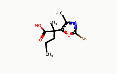 CCCC(C)(C(=O)O)c1oc(S)nc1C